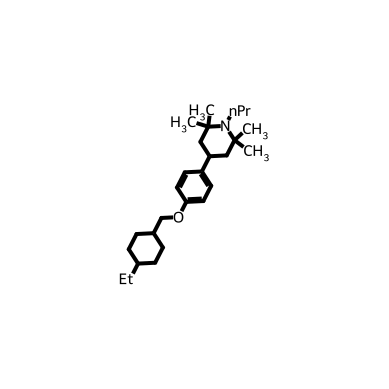 CCCN1C(C)(C)CC(c2ccc(OCC3CCC(CC)CC3)cc2)CC1(C)C